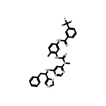 Cc1ccc(NC(=O)c2cccc(C(F)(F)F)c2)cc1NC(=O)N(C)c1cc(NC(Cc2ccccc2)C2=COCO2)ncn1